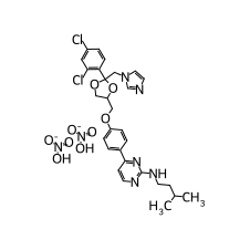 CC(C)CCNc1nccc(-c2ccc(OCC3COC(Cn4ccnc4)(c4ccc(Cl)cc4Cl)O3)cc2)n1.O=[N+]([O-])O.O=[N+]([O-])O